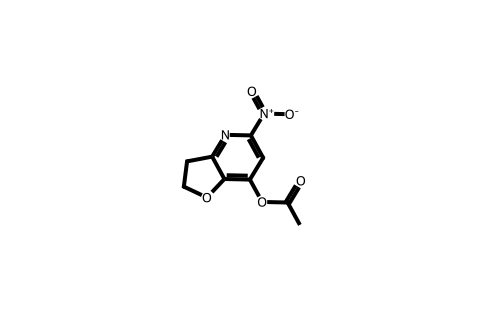 CC(=O)Oc1cc([N+](=O)[O-])nc2c1OCC2